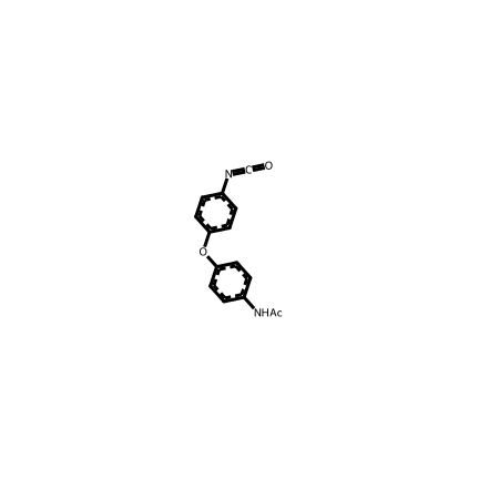 CC(=O)Nc1ccc(Oc2ccc(N=C=O)cc2)cc1